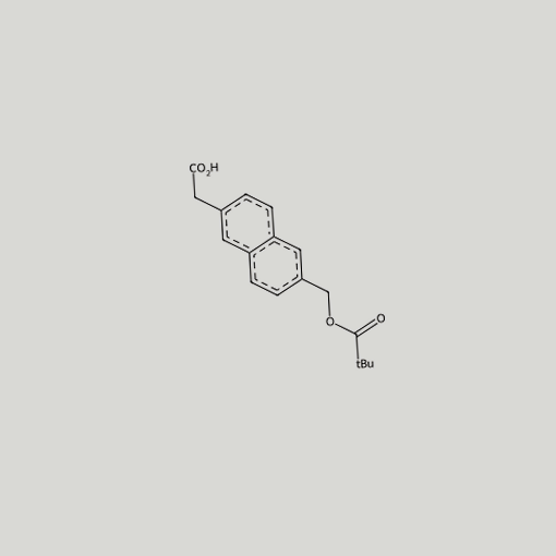 CC(C)(C)C(=O)OCc1ccc2cc(CC(=O)O)ccc2c1